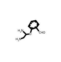 NCC(N)Oc1ccccc1C=O